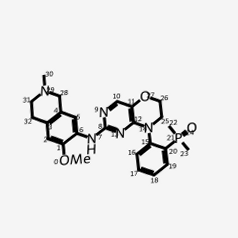 COc1cc2c(cc1Nc1ncc3c(n1)N(c1ccccc1P(C)(C)=O)CCO3)CN(C)CC2